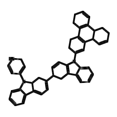 C1=CC2=C(CC1)C1=C(C=C(n3c4c(c5ccccc53)CC(C3=CC=C5c6ccccc6N(C6=CCNC=C6)C5C3)C=C4)CC1)C1C=CCCC21